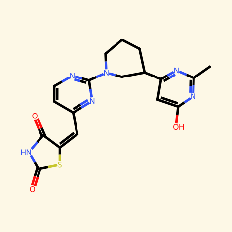 Cc1nc(O)cc(C2CCCN(c3nccc(/C=C4/SC(=O)NC4=O)n3)C2)n1